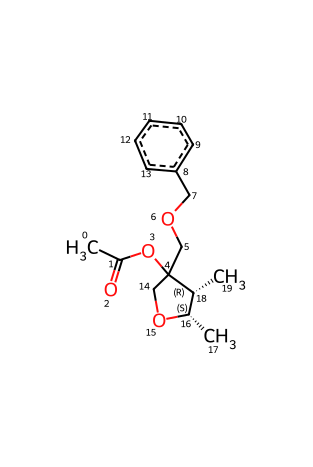 CC(=O)OC1(COCc2ccccc2)CO[C@@H](C)[C@H]1C